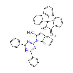 C=C1/C(=C\c2c(C)n(-c3nc(-c4ccccc4)nc(-c4ccccc4)n3)c3ccccc23)C(c2ccccc2)(c2ccccc2)c2ccccc21